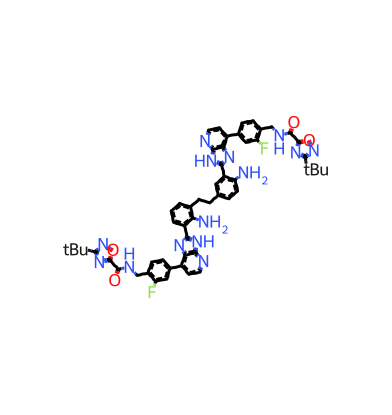 CC(C)(C)c1noc(C(=O)NCc2ccc(-c3ccnc4[nH]c(-c5cc(CCc6cccc(-c7nc8c(-c9ccc(CNC(=O)c%10nc(C(C)(C)C)no%10)c(F)c9)ccnc8[nH]7)c6N)ccc5N)nc34)cc2F)n1